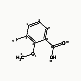 COc1c(I)cccc1C(=O)O